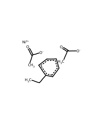 CC(=O)[O-].CC(=O)[O-].CCc1ccccc1.[Ni+2]